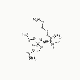 C=C(C)CC(N)CCCCN.CCCCC(CC)(CN)CCCN